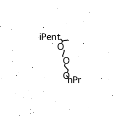 CCCOCCOCCOC(C)C(C)CCC